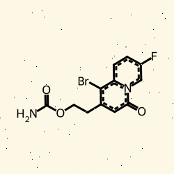 NC(=O)OCCc1cc(=O)n2cc(F)ccc2c1Br